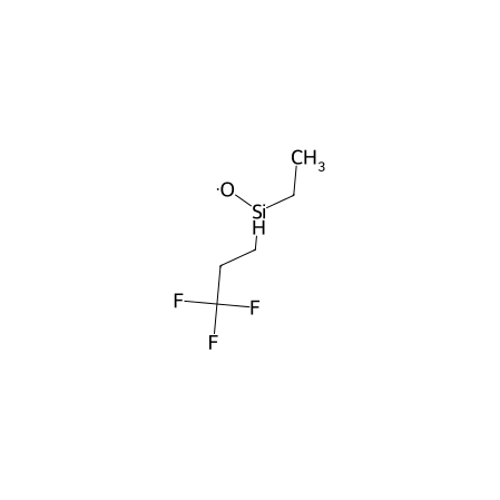 CC[SiH]([O])CCC(F)(F)F